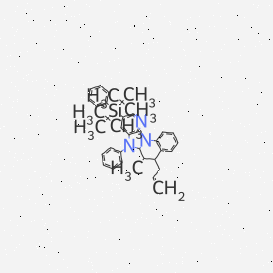 C=CCC1c2ccccc2N2c3ncc([Si](c4ccccc4)(C(C)(C)C)C(C)(C)C)cc3N(c3ccccc3)C2C1C